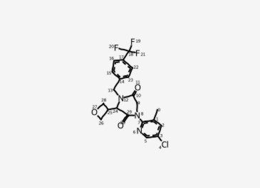 Cc1cc(Cl)cnc1N1CC(=O)N(Cc2ccc(C(F)(F)F)cc2)C(C2COC2)C1=O